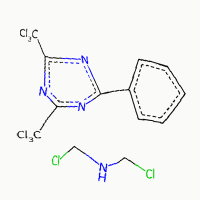 ClC(Cl)(Cl)c1nc(-c2ccccc2)nc(C(Cl)(Cl)Cl)n1.ClCNCCl